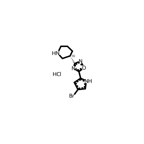 Brc1c[nH]c(-c2nc([C@H]3CCCNC3)no2)c1.Cl